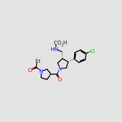 CCC(=O)N1CCC(C(=O)N2C[C@H](CNC(=O)O)[C@H](c3ccc(Cl)cc3)C2)C1